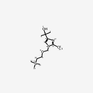 CC(C)(O)c1cn(COCC[Si](C)(C)C)c(C(F)(F)F)n1